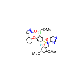 COCCOCn1nccc1[C@H]1CCCC[C@@H]1Oc1cc(F)c(S(=O)(=O)N(Cc2ccc(OC)cc2OC)c2ccncn2)cc1Cl